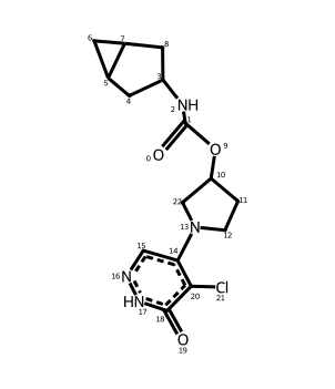 O=C(NC1CC2CC2C1)OC1CCN(c2cn[nH]c(=O)c2Cl)C1